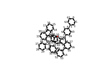 c1ccc(-c2ccc(-n3c4cc(-n5c6ccccc6c6cccc([Si](c7ccccc7)(c7ccccc7)c7ccccc7)c65)ccc4c4c(-c5ccccc5)cccc43)cc2)cc1